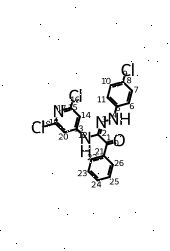 O=C(/C(=N\Nc1ccc(Cl)cc1)Nc1cc(Cl)nc(Cl)c1)c1ccccc1